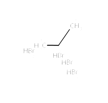 Br.Br.Br.Br.CCC